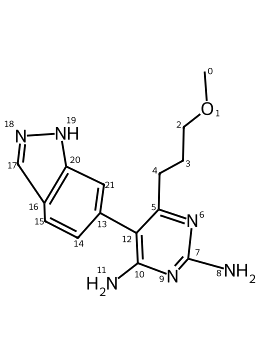 COCCCc1nc(N)nc(N)c1-c1ccc2cn[nH]c2c1